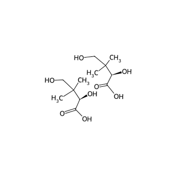 CC(C)(CO)[C@@H](O)C(=O)O.CC(C)(CO)[C@@H](O)C(=O)O